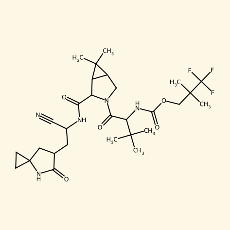 CC(C)(C)C(NC(=O)OCC(C)(C)C(F)(F)F)C(=O)N1CC2C(C1C(=O)NC(C#N)CC1CC3(CC3)NC1=O)C2(C)C